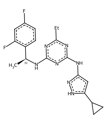 CCc1nc(Nc2cc(C3CC3)[nH]n2)nc(N[C@@H](C)c2ccc(F)cc2F)n1